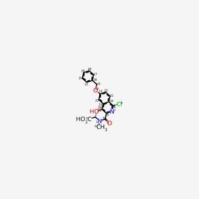 CN(CC(=O)O)C(=O)c1nc(Cl)c2ccc(OCc3ccccc3)cc2c1O